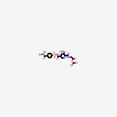 CCC(CC)OC(=O)CNC(=O)c1ncc(C(=O)NS(=O)(=O)c2ccc(C(=O)N(CC)CC)cc2)cc1OC